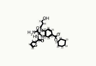 NC(=O)C1(NC(=O)c2cccs2)Nc2cc(C(=O)OC3CCCCC3)ccc2N1CCCO